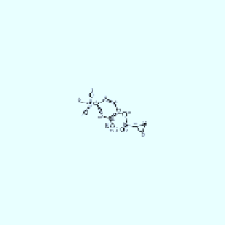 CS(=O)(=O)c1ccc(OC(=O)C2CC2)c([N+](=O)[O-])c1